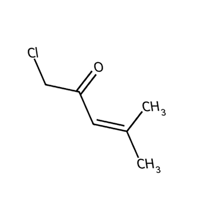 CC(C)=CC(=O)CCl